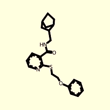 O=C(NCC1CC2CCC1C2)c1cccnc1SCCOc1ccccc1